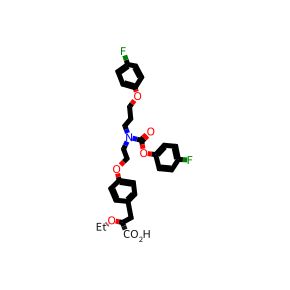 CCOC(Cc1ccc(OCCN(CCCOc2ccc(F)cc2)C(=O)Oc2ccc(F)cc2)cc1)C(=O)O